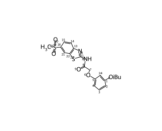 CC(C)COc1cccc(OCC(=O)Nc2nc3ccc(S(C)(=O)=O)cc3s2)c1